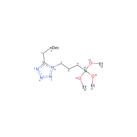 CCCCCCCCCCCc1nnnn1CCC[Si](OCC)(OCC)OCC